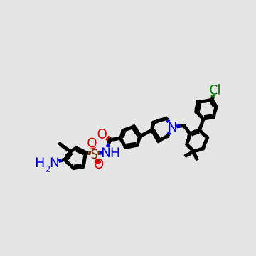 Cc1cc(S(=O)(=O)NC(=O)c2ccc(C3=CCN(CC4=C(c5ccc(Cl)cc5)CCC(C)(C)C4)CC3)cc2)ccc1N